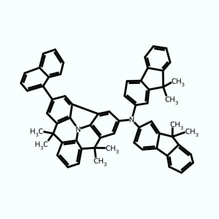 CC1(C)c2ccccc2-c2ccc(N(c3ccc4c(c3)C(C)(C)c3ccccc3-4)c3cc4c5c(c3)c3cc(-c6cccc7ccccc67)cc6c3n5-c3c(cccc3C4(C)C)C6(C)C)cc21